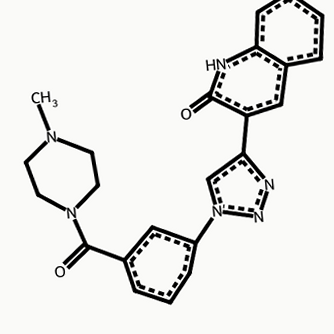 CN1CCN(C(=O)c2cccc(-n3cc(-c4cc5ccccc5[nH]c4=O)nn3)c2)CC1